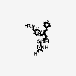 N#Cc1c[nH]c(C(=O)NC/C=C\C(=C/CC2=CCCCC2)CN2CCN(CCO)CC2)n1